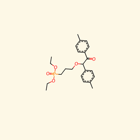 CCOP(=O)(CCCOC(C(=O)c1ccc(C)cc1)c1ccc(C)cc1)OCC